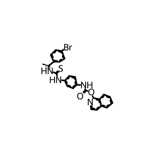 C[C@H](NC(=S)Nc1ccc(NC(=O)Oc2nccc3ccccc23)cc1)c1ccc(Br)cc1